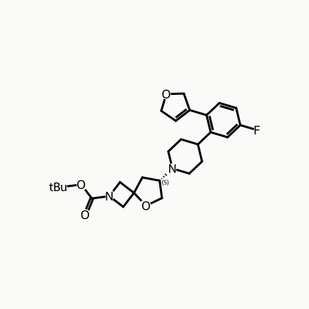 CC(C)(C)OC(=O)N1CC2(C[C@H](N3CCC(c4cc(F)ccc4C4=CCOC4)CC3)CO2)C1